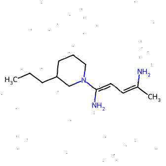 CCCC1CCCN(/C(N)=C/C=C(/C)N)C1